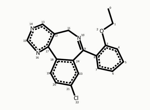 CCOc1ccccc1C1=NCc2cncnc2-c2ccc(Cl)cc21